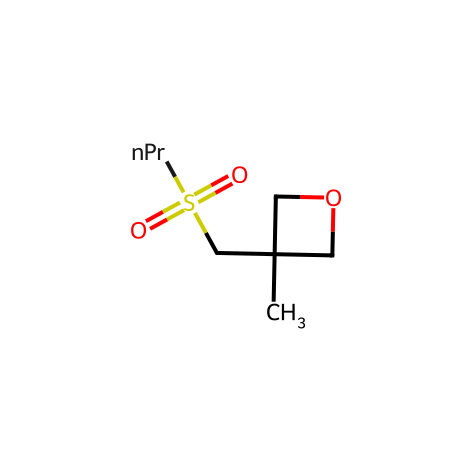 CCCS(=O)(=O)CC1(C)COC1